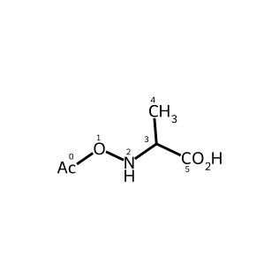 CC(=O)ONC(C)C(=O)O